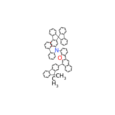 CC1(C)c2ccccc2-c2ccc(-c3c4ccccc4cc4c3oc3c(N(c5ccc6c(c5)C5(c7ccccc7-c7ccccc75)c5ccccc5-6)c5ccccc5-c5ccccc5)cccc34)cc21